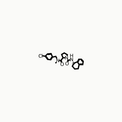 CN(Cc1ccc(Cl)cc1)C(=O)C1CCCN1C(=O)N[C@H]1CCCc2ccccc21